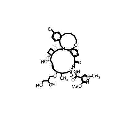 COc1nn(C)cc1C(=O)N[S@@]1(=O)=NC(=O)c2ccc3c(c2)N(Cc2ccc(Cl)cc2CCCCO3)C[C@@H]2CC[C@H]2[C@@H](O)/C=C/[C@H](OCC(O)CO)[C@H](C)C1